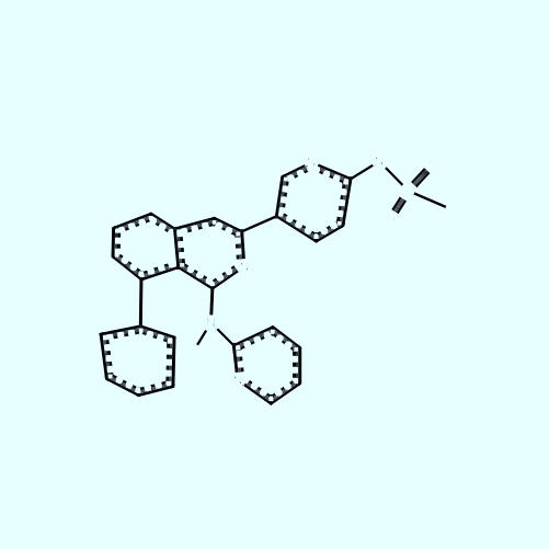 CN(c1ccccn1)c1nc(-c2ccc(NS(C)(=O)=O)nc2)cc2cccc(-c3ccccc3)c12